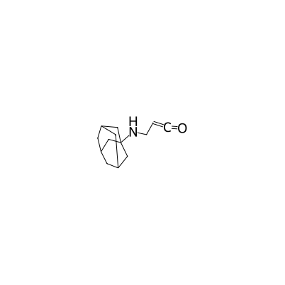 O=C=CCNC12CC3CC(CC(C3)C1)C2